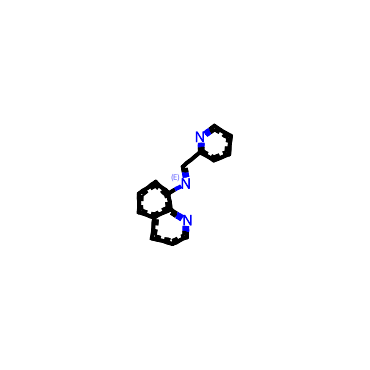 C(=N\c1cccc2cccnc12)/c1ccccn1